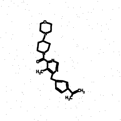 C=C(C)c1ccc(Cc2ncnc(C(=O)N3CCC(N4CCOCC4)CC3)c2C)cc1